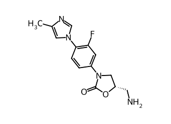 Cc1cn(-c2ccc(N3C[C@H](CN)OC3=O)cc2F)cn1